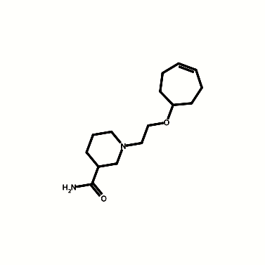 NC(=O)C1CCCN(CCOC2CCC=CCC2)C1